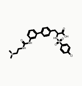 CN(C)CCNC(=O)Nc1cccc(-c2ccc(CC(NS(=O)(=O)c3ccc(Cl)cc3)C(=O)O)cc2)c1